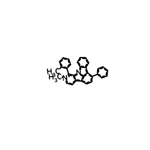 Cc1ccccc1-c1c2c(cc[n+]1C)c1ccc(-c3ccccc3)c3c4ccccc4n2c13